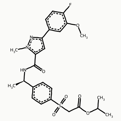 COc1cc(-c2cc(C(=O)N[C@H](C)c3ccc(S(=O)(=O)CC(=O)OC(C)C)cc3)n(C)n2)ccc1F